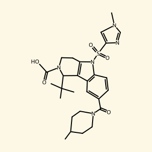 CC1CCN(C(=O)c2ccc3c(c2)c2c(n3S(=O)(=O)c3cn(C)cn3)CCN(C(=O)O)C2C(C)(C)C)CC1